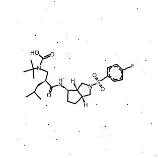 CC(C)C[C@@H](CN(C(=O)O)C(C)(C)C)C(=O)N[C@@H]1CC[C@H]2CN(S(=O)(=O)c3ccc(F)cc3)C[C@H]21